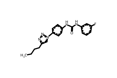 CCCCc1cn(-c2ccc(NC(=O)Nc3cccc(F)c3)cc2)nn1